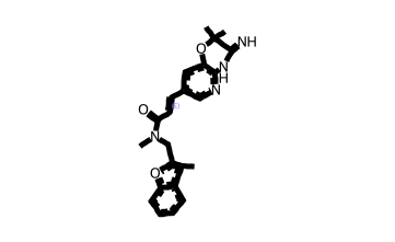 Cc1c(CN(C)C(=O)/C=C/c2cnc3c(c2)OC(C)(C)C(=N)N3)oc2ccccc12